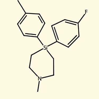 Cc1ccc([Si]2(c3ccc(F)cc3)CCN(C)CC2)cc1